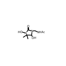 CC(=O)NCN1C(=O)N(O)C(C)(C)C1O